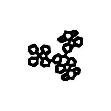 c1ccc(C2(c3ccccc3)c3ccccc3-c3c(-c4ccc(N(c5ccc6c(c5)-c5ccccc5C65c6ccccc6Sc6ccccc65)c5cccc6c5-c5ccccc5C65c6ccccc6Oc6ccccc65)cc4)cccc32)cc1